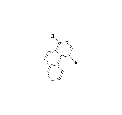 Clc1ccc(Br)c2c1ccc1ccccc12